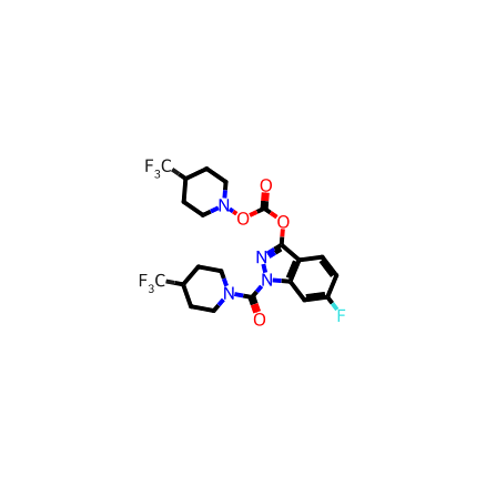 O=C(Oc1nn(C(=O)N2CCC(C(F)(F)F)CC2)c2cc(F)ccc12)ON1CCC(C(F)(F)F)CC1